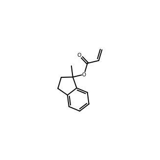 C=CC(=O)OC1(C)CCc2ccccc21